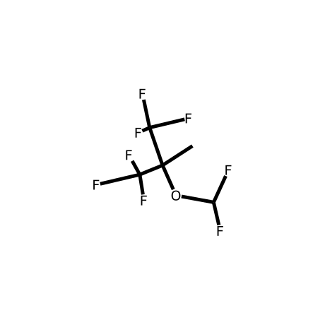 CC(OC(F)F)(C(F)(F)F)C(F)(F)F